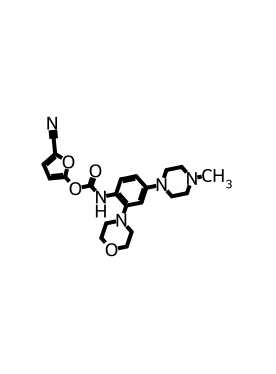 CN1CCN(c2ccc(NC(=O)Oc3ccc(C#N)o3)c(N3CCOCC3)c2)CC1